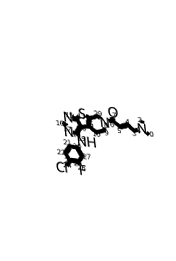 CN(C)C/C=C/C(=O)N1CCc2c(sc3ncnc(Nc4ccc(Cl)c(F)c4)c23)C1